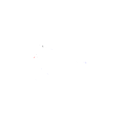 C[C@@H](N1CCC(=CC(=O)Nc2cccc(F)c2)CC1)[C@](O)(Cn1cncn1)c1ccc(F)cc1F